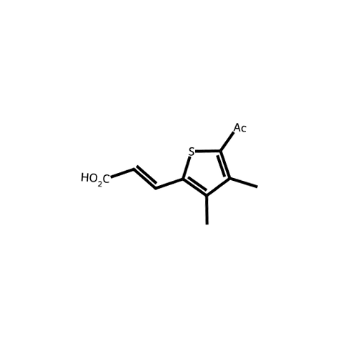 CC(=O)c1sc(C=CC(=O)O)c(C)c1C